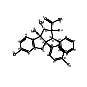 O=C(O)C1(F)[C@@H](O)[C@@]2(O)c3ncc(Cl)cc3O[C@@]2(c2ccc(Br)cc2)[C@@H]1c1ccccc1